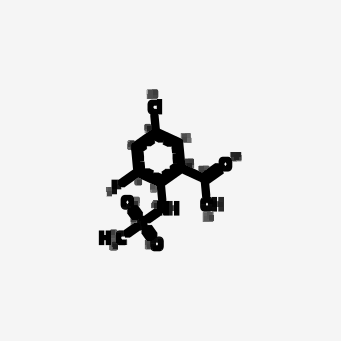 CS(=O)(=O)Nc1c(F)cc(Cl)cc1C(=O)O